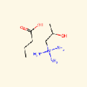 CC(O)C[N+](N)(N)N.CCCC(=O)O